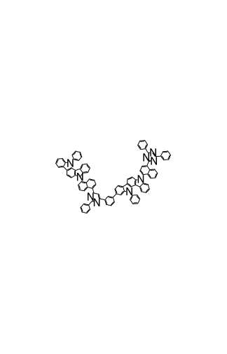 c1ccc(-c2nc(-c3cccc(-c4ccc5c6ccc7c(c8ccccc8n7-c7ccc(-c8nc(-c9ccccc9)nc(-c9ccccc9)n8)c8ccccc78)c6n(-c6ccccc6)c5c4)c3)cc(-c3cccc4c(-n5c6ccccc6c6c5ccc5c7ccccc7n(-c7ccccc7)c56)cccc34)n2)cc1